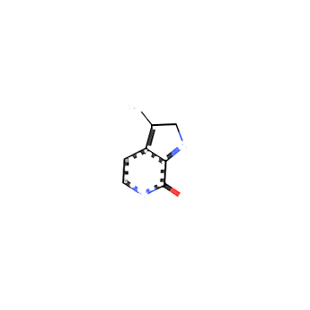 CC(C)(C)C1=c2cc[nH]c(=O)c2=NC1